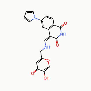 O=C1NC(=O)c2ccc(-n3cccc3)cc2C1=CNCc1cc(=O)c(O)co1